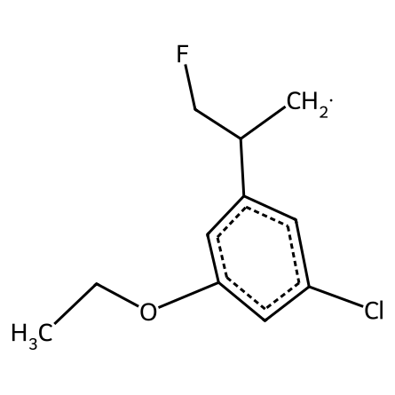 [CH2]C(CF)c1cc(Cl)cc(OCC)c1